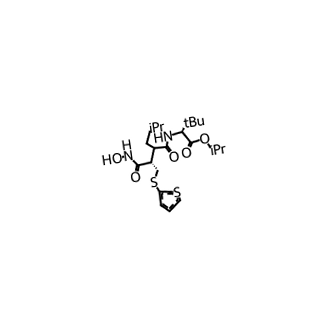 CC(C)CC(C(=O)N[C@H](C(=O)OC(C)C)C(C)(C)C)[C@H](CSc1cccs1)C(=O)NO